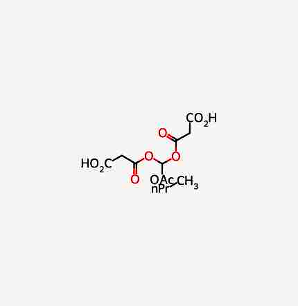 CC(=O)OC(OC(=O)CC(=O)O)OC(=O)CC(=O)O.CCCC